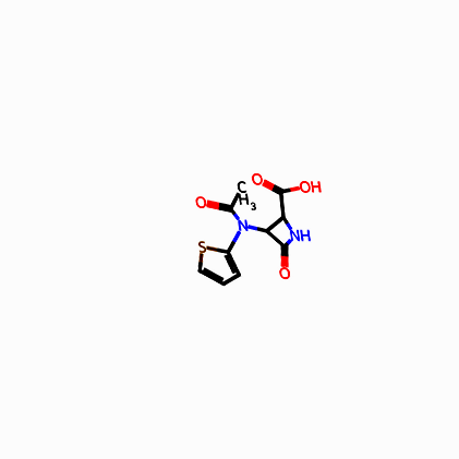 CC(=O)N(c1cccs1)C1C(=O)NC1C(=O)O